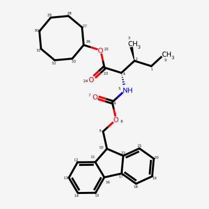 CC[C@H](C)[C@H](NC(=O)OCC1c2ccccc2-c2ccccc21)C(=O)OC1CCCCCCC1